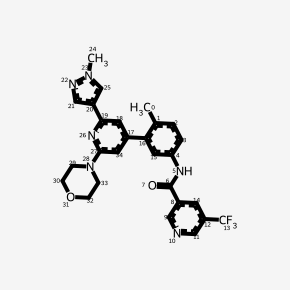 Cc1ccc(NC(=O)c2cncc(C(F)(F)F)c2)cc1-c1cc(-c2cnn(C)c2)nc(N2CCOCC2)c1